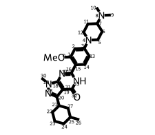 COc1cc(N2CCC(N(C)C)CC2)ccc1-c1nc2c(c(C3CCCC(C)C3)nn2C)c(=O)[nH]1